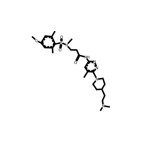 COc1cc(C)c(S(=O)(=O)N(C)CCC(=O)Nc2cc(C)c(N3CCC(CCN(C)C)CC3)nn2)c(C)c1